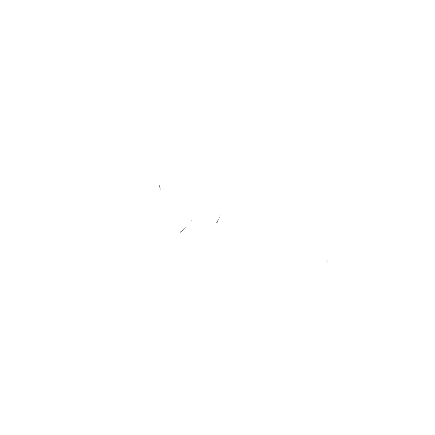 CC(C)OC(=O)N[C@H]1CC[C@H]2[C@@H]3CC[C@H]4N(C)C(=O)C=C[C@]4(C)[C@H]3CC[C@]12C